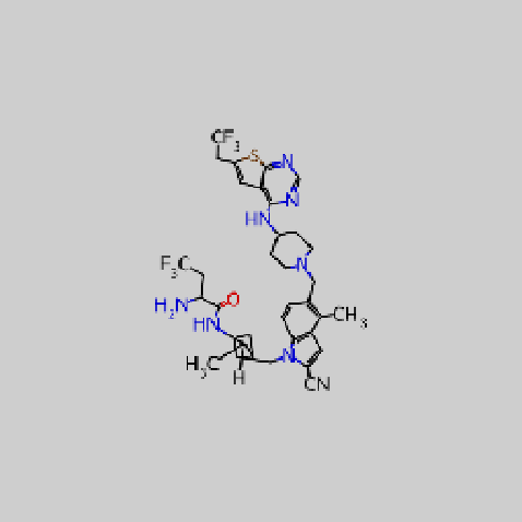 Cc1c(CN2CCC(Nc3ncnc4sc(CC(F)(F)F)cc34)CC2)ccc2c1cc(C#N)n2CC12CC(NC(=O)C(N)CC(F)(F)F)(C1)[C@H]2C